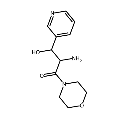 NC(C(=O)N1CCOCC1)C(O)c1cccnc1